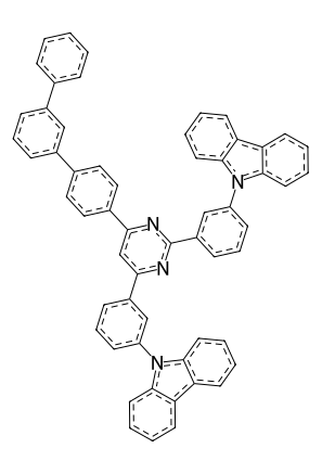 c1ccc(-c2cccc(-c3ccc(-c4cc(-c5cccc(-n6c7ccccc7c7ccccc76)c5)nc(-c5cccc(-n6c7ccccc7c7ccccc76)c5)n4)cc3)c2)cc1